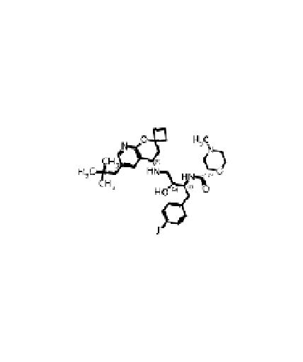 CN1CCO[C@H](C(=O)N[C@@H](Cc2ccc(F)cc2)[C@@H](O)CN[C@H]2CC3(CCC3)Oc3ncc(CC(C)(C)C)cc32)C1